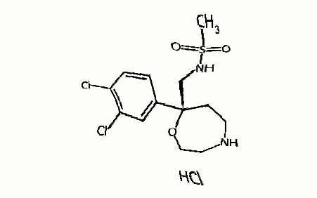 CS(=O)(=O)NC[C@@]1(c2ccc(Cl)c(Cl)c2)CCNCCO1.Cl